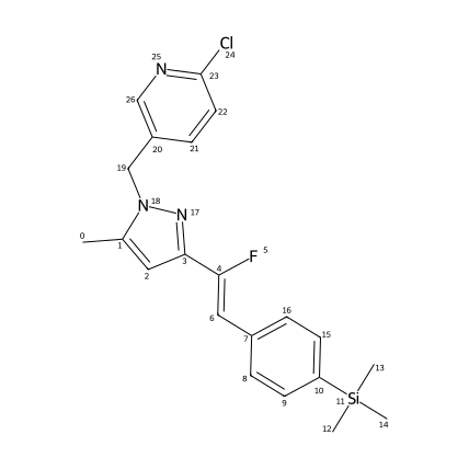 Cc1cc(C(F)=Cc2ccc([Si](C)(C)C)cc2)nn1Cc1ccc(Cl)nc1